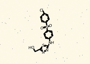 O=S(=O)(c1ccc(Cl)cc1)c1ccc(Nc2nnc(CO)s2)cc1